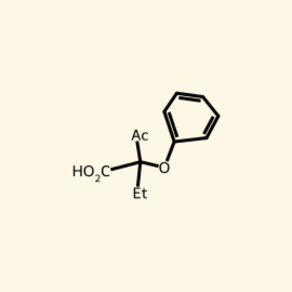 CCC(Oc1ccccc1)(C(C)=O)C(=O)O